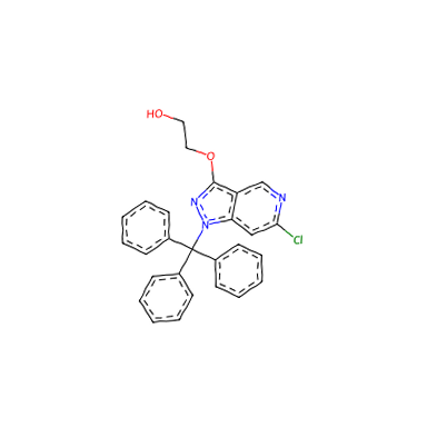 OCCOc1nn(C(c2ccccc2)(c2ccccc2)c2ccccc2)c2cc(Cl)ncc12